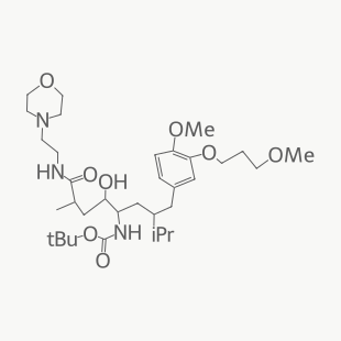 COCCCOc1cc(CC(CC(NC(=O)OC(C)(C)C)C(O)CC(C)C(=O)NCCN2CCOCC2)C(C)C)ccc1OC